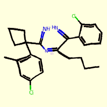 CCCC/C(=N/C(=N)C1(c2ccc(Cl)cc2C)CCC1)C(=N)c1ccccc1Cl